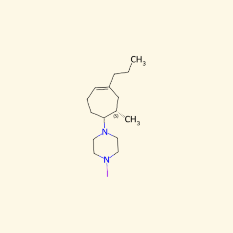 CCCC1=CCCC(N2CCN(I)CC2)[C@@H](C)C1